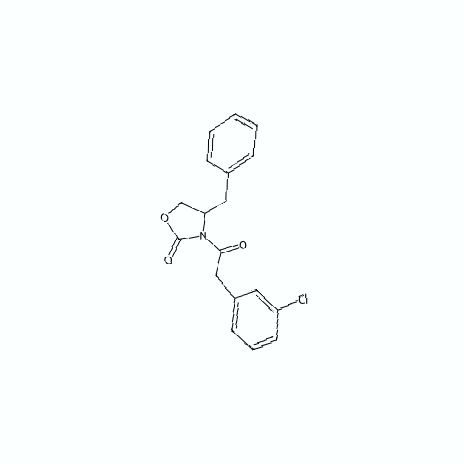 O=C(Cc1cccc(Cl)c1)N1C(=O)OCC1Cc1ccccc1